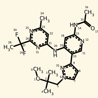 COC(C)(C)Cn1ccc(-c2cnc(NC(C)=O)cc2Nc2cc(C)nc(C(C)(F)F)n2)n1